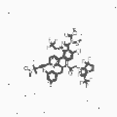 COC(=O)N(SC)c1nn(CC(F)(F)F)c2c(-c3ccc(C#CC(C)(C)[S+](C)[O-])nc3C(Cc3cc(F)cc(F)c3)NC(=O)Cn3nc(C(F)(F)F)c4c3C(F)(F)CC4)ccc(Cl)c12